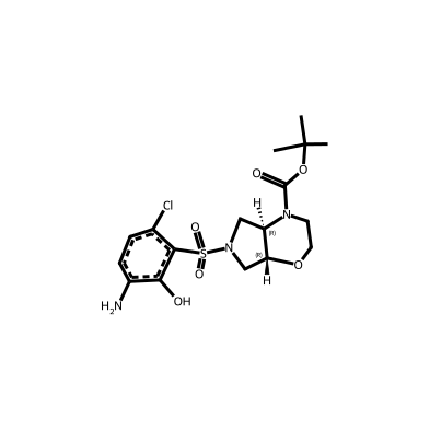 CC(C)(C)OC(=O)N1CCO[C@@H]2CN(S(=O)(=O)c3c(Cl)ccc(N)c3O)C[C@H]21